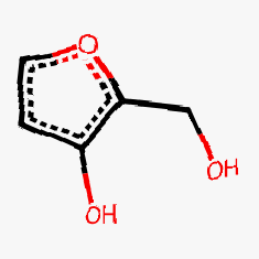 OCc1occc1O